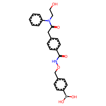 O=C(NOCc1ccc(B(O)O)cc1)c1ccc(CC(=O)N(CCO)c2ccccc2)cc1